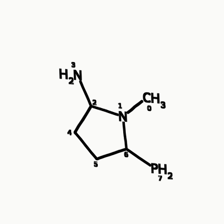 CN1C(N)CCC1P